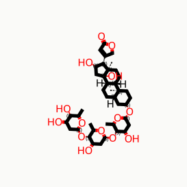 CC1O[C@@H](O[C@H]2C(O)C[C@H](O[C@H]3C(O)C[C@H](O[C@H]4CC[C@@]5(C)[C@H](CC[C@@H]6[C@@H]5CC[C@]5(C)[C@@H](C7=CC(=O)OC7)[C@@H](O)C[C@]65O)C4)OC3C)OC2C)CC(O)[C@@H]1O